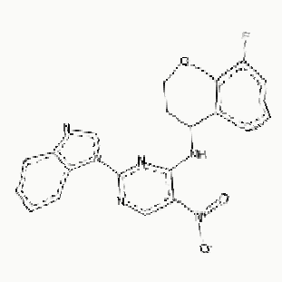 O=[N+]([O-])c1cnc(-n2cnc3ccccc32)nc1NC1CCOc2c(F)cccc21